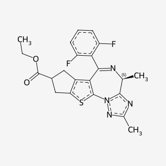 CCOC(=O)C1Cc2sc3c(c2C1)C(c1c(F)cccc1F)=N[C@@H](C)c1nc(C)nn1-3